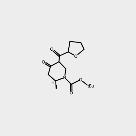 C[C@H]1CC(=O)C(C(=O)C2CCCO2)CN1C(=O)OC(C)(C)C